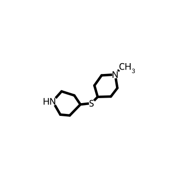 CN1CCC(SC2CCNCC2)CC1